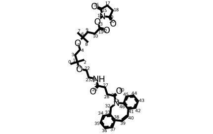 CC(C)(CCOC(C)(C)CCC(=O)ON1C(=O)CCC1=O)OCCNC(=O)CCC(=O)N1Cc2ccccc2/C=C\c2ccccc21